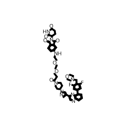 O=C1CCC(N2C(=O)c3ccc(NCCOCCOCCC(=O)N4CCC(n5cc(-c6cnc7cccc(-c8cc(F)c(CN9CCOCC9)c(F)c8)c7n6)cn5)CC4)cc3C2=O)C(=O)N1